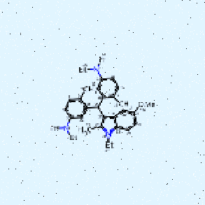 CCN(CC)c1ccc(C)c(C(c2cc(N(CC)CC)ccc2C)c2c(C)n(CC)c3ccc(OC)cc23)c1